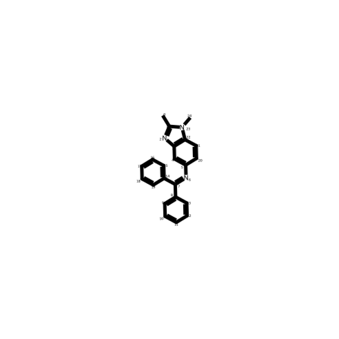 Cc1nc2cc(N=C(c3ccccc3)c3ccccc3)ccc2n1C